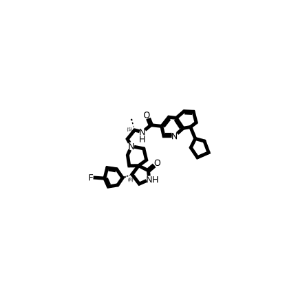 C[C@@H](CN1CCC2(CC1)C(=O)NC[C@@H]2C1C=CC(F)=CC1)NC(=O)c1cnc2c(c1)C=CCC2C1CCCC1